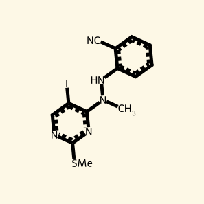 CSc1ncc(I)c(N(C)Nc2ccccc2C#N)n1